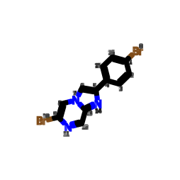 Brc1ccc(-c2cn3cc(Br)ncc3n2)cc1